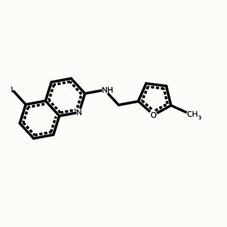 Cc1ccc(CNc2ccc3c(I)cccc3n2)o1